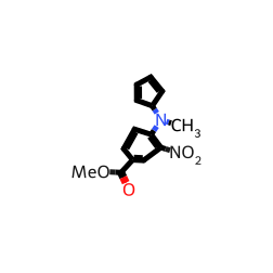 COC(=O)c1ccc(N(C)C2C=CC=C2)c([N+](=O)[O-])c1